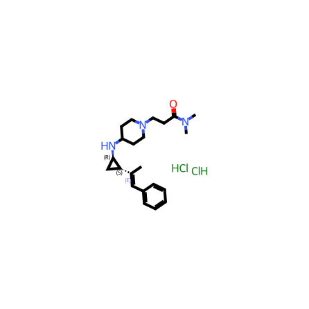 C/C(=C\c1ccccc1)[C@@H]1C[C@H]1NC1CCN(CCC(=O)N(C)C)CC1.Cl.Cl